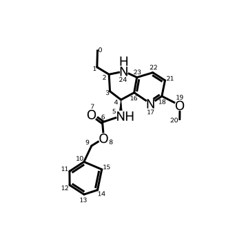 CCC1C[C@H](NC(=O)OCc2ccccc2)c2nc(OC)ccc2N1